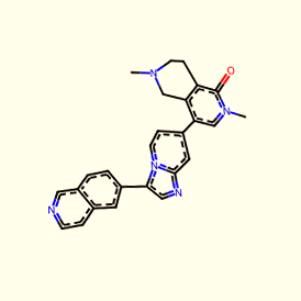 CN1CCc2c(c(-c3ccn4c(-c5ccc6cnccc6c5)cnc4c3)cn(C)c2=O)C1